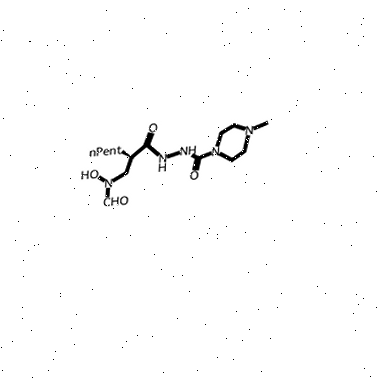 CCCCC[C@H](CN(O)C=O)C(=O)NNC(=O)N1CCN(C)CC1